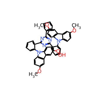 COc1ccc2c(c1)c1cc(OC)ccc1n2-c1ccccc1-c1nc(-c2ccccc2)nc(-c2ccccc2-n2c3ccc(OC)cc3c3cc(OO)ccc32)n1